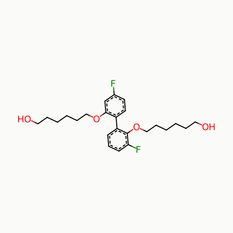 OCCCCCCOc1cc(F)ccc1-c1cccc(F)c1OCCCCCCO